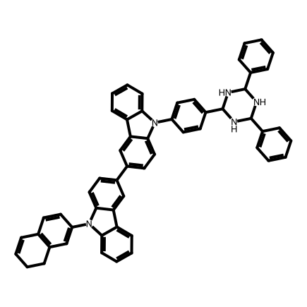 C1=Cc2ccc(-n3c4ccccc4c4cc(-c5ccc6c(c5)c5ccccc5n6-c5ccc(C6NC(c7ccccc7)NC(c7ccccc7)N6)cc5)ccc43)cc2CC1